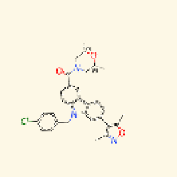 Cc1noc(C)c1-c1ccc2c3cc(C(=O)N4C[C@@H](C)O[C@@H](C)C4)ccc3n(Cc3ccc(Cl)cc3)c2c1